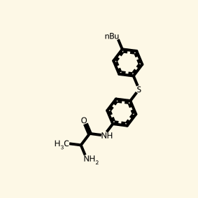 CCCCc1ccc(Sc2ccc(NC(=O)C(C)N)cc2)cc1